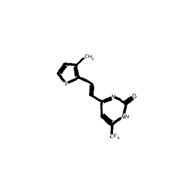 Cc1ccsc1C=Cc1cc(C(F)(F)F)[nH]c(=O)n1